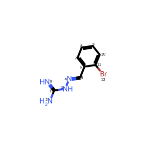 N=C(N)NN=Cc1ccccc1Br